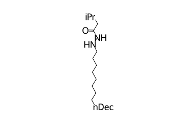 CCCCCCCCCCCCCCCCCCNNC(=O)CC(C)C